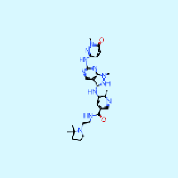 Cc1ncc(C(=O)NCCN2CCCC2(C)C)cc1NC1NN(C)c2nc(Nc3ccc(=O)n(C)n3)ncc21